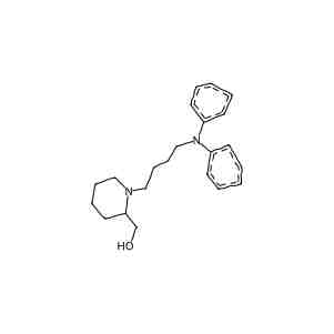 OCC1CCCCN1CCCCN(c1ccccc1)c1ccccc1